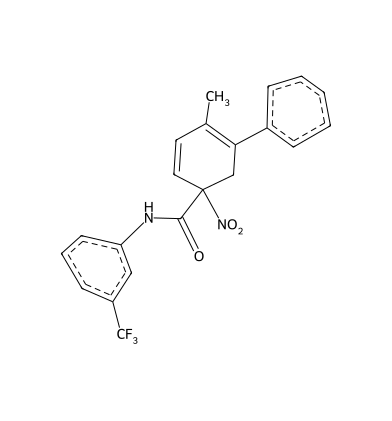 CC1=C(c2ccccc2)CC(C(=O)Nc2cccc(C(F)(F)F)c2)([N+](=O)[O-])C=C1